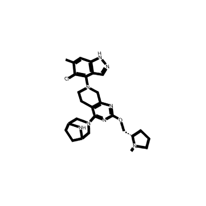 Cc1cc2[nH]ncc2c(N2CCc3c(nc(OC[C@@H]4CCCN4C)nc3N3CC4CCC(C3)N4)C2)c1Cl